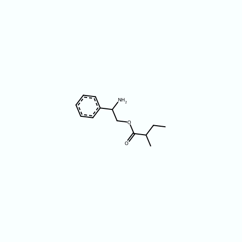 CCC(C)C(=O)OCC(N)c1ccccc1